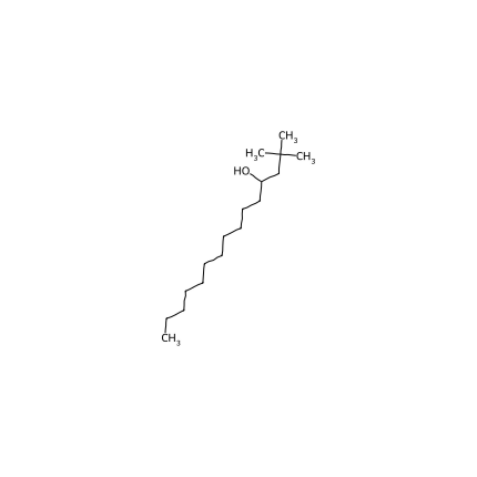 CCCCCCCCCCCC(O)CC(C)(C)C